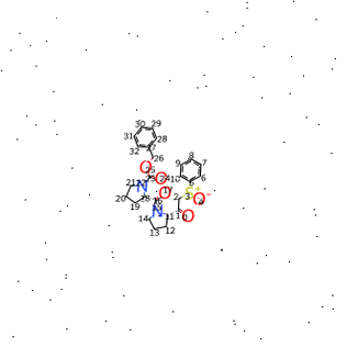 O=C(C[S@@+]([O-])c1ccccc1)[C@@H]1CCCN1C(=O)[C@@H]1CCCN1C(=O)OCc1ccccc1